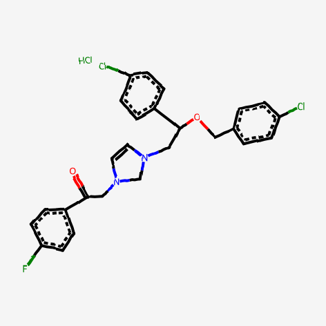 Cl.O=C(CN1C=CN(CC(OCc2ccc(Cl)cc2)c2ccc(Cl)cc2)C1)c1ccc(F)cc1